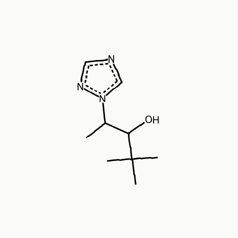 CC(C(O)C(C)(C)C)n1cncn1